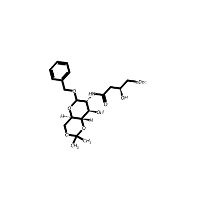 CCCCCCCCCCC[C@@H](O)CC(=O)N[C@H]1C(OCc2ccccc2)O[C@@H]2COC(C)(C)O[C@H]2[C@@H]1O